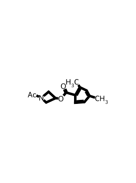 CC(=O)N1CC(OC(=O)c2ccc(C)cc2C)C1